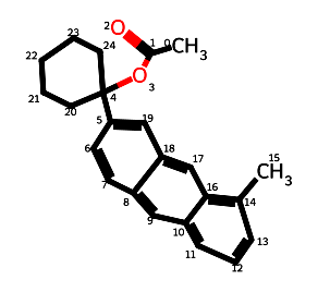 CC(=O)OC1(c2ccc3cc4cccc(C)c4cc3c2)CCCCC1